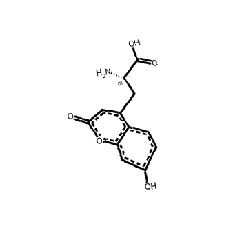 N[C@@H](Cc1cc(=O)oc2cc(O)ccc12)C(=O)O